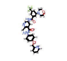 Cc1ncc(NC(=O)c2cc(N3CCOCC3)cc(C(F)(F)F)c2)cc1C(=O)Nc1ccc(OCc2ccccn2)cc1